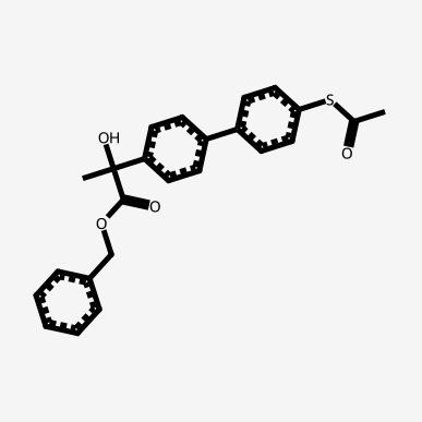 CC(=O)Sc1ccc(-c2ccc(C(C)(O)C(=O)OCc3ccccc3)cc2)cc1